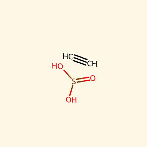 C#C.O=S(O)O